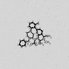 CN1C(N)c2ccc(-c3c(F)cccc3N3CCN(Cc4ccccc4)CC3)nc2N(OC(=O)C(F)(F)F)C1N